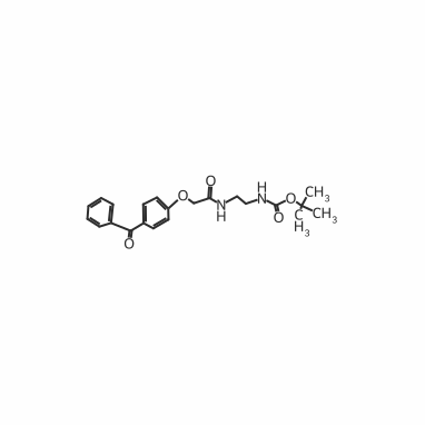 CC(C)(C)OC(=O)NCCNC(=O)COc1ccc(C(=O)c2ccccc2)cc1